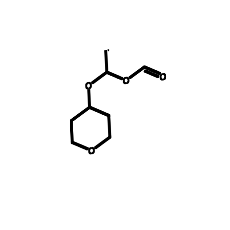 [CH2]C(OC=O)OC1CCOCC1